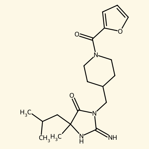 CC(C)CC1(C)NC(=N)N(CC2CCN(C(=O)c3ccco3)CC2)C1=O